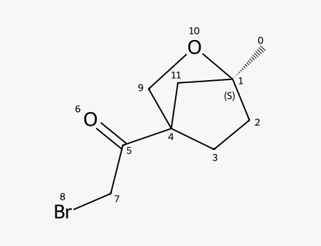 C[C@@]12CCC(C(=O)CBr)(CO1)C2